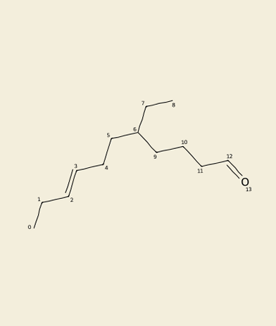 CCC=CCCC(CC)CCCC=O